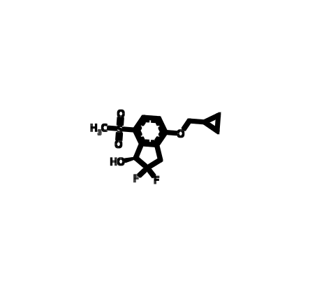 CS(=O)(=O)c1ccc(OCC2CC2)c2c1[C@H](O)C(F)(F)C2